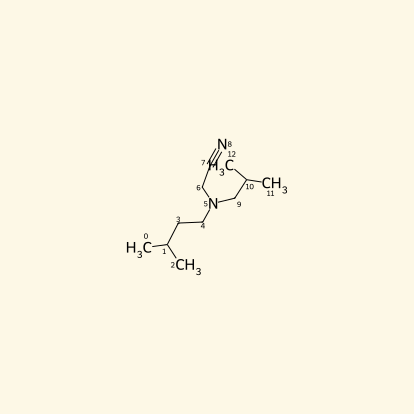 CC(C)CCN(CC#N)CC(C)C